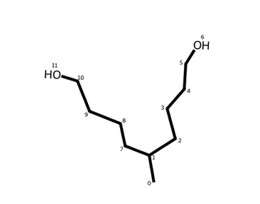 CC(CCCCO)CCCCO